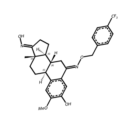 COc1cc2c(cc1O)C(=NOCc1ccc(C(F)(F)F)cc1)C[C@@H]1[C@@H]2CC[C@]2(C)C(=NO)CC[C@@H]12